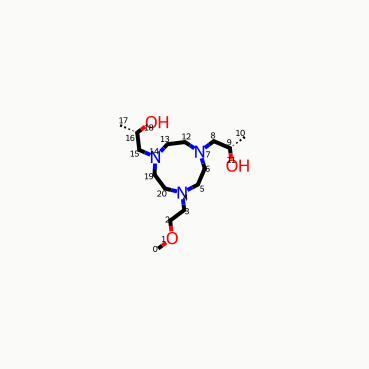 COCCN1CCN(C[C@H](C)O)CCN(C[C@H](C)O)CC1